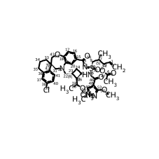 C=C[C@H](OC(C)=O)[C@H](C)C[S@](=O)(=NC(=O)c1ccc2c(c1)N(C[C@@H]1CC[C@H]1[C@H](C)OC)C[C@@]1(CCCc3cc(Cl)ccc31)CO2)NC(=O)c1cn(C)nc1OC